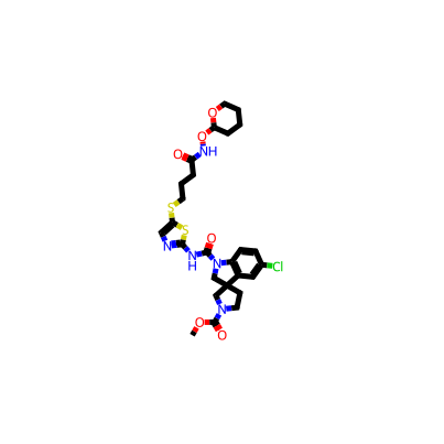 COC(=O)N1CCC2(C1)CN(C(=O)Nc1ncc(SCCCC(=O)NOC3CCCCO3)s1)c1ccc(Cl)cc12